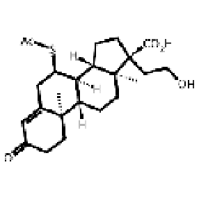 CC(=O)S[C@@H]1CC2=CC(=O)CC[C@]2(C)[C@H]2CC[C@@]3(C)[C@@H](CC[C@@]3(CCO)C(=O)O)[C@H]12